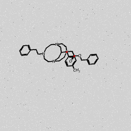 Cc1ccc(CC2CN3CCN(CCc4ccccc4)CCN(CCN(CC(=O)OCc4ccccc4)CC3)C2)cc1